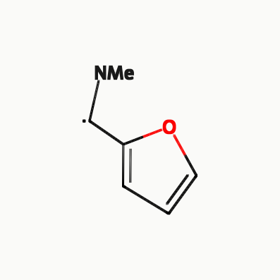 CN[CH]c1ccco1